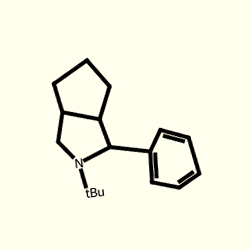 CC(C)(C)N1CC2CCCC2C1c1ccccc1